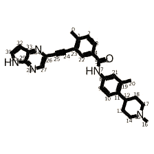 Cc1ccc(C(=O)Nc2ccc(C3CCN(C)CC3)c(C)c2)cc1C#Cc1cnc2[nH]ccc2n1